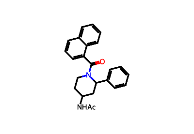 CC(=O)NC1CCN(C(=O)c2cccc3ccccc23)C(c2ccccc2)C1